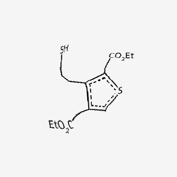 CCOC(=O)c1csc(C(=O)OCC)c1CS